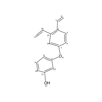 C=Cc1ccc(Oc2cccc(O)c2)cc1C=C